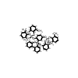 Cc1cccc(C)c1OP(=O)(Oc1ccc(OP(=O)(Oc2c(C)cccc2C)Oc2c(C)cccc2C)c(P2(=O)Oc3ccccc3-c3ccccc32)c1)Oc1c(C)cccc1C